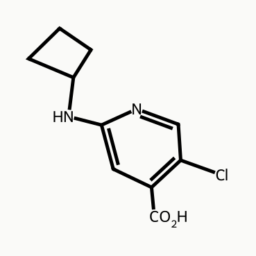 O=C(O)c1cc(NC2CCC2)ncc1Cl